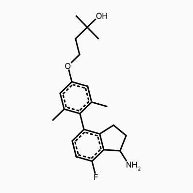 Cc1cc(OCCC(C)(C)O)cc(C)c1-c1ccc(F)c2c1CCC2N